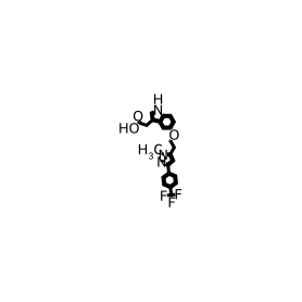 Cn1nc(-c2ccc(C(F)(F)F)cc2)cc1CCOc1ccc2[nH]cc(CC(=O)O)c2c1